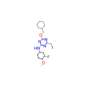 COc1ccc(Nc2nc(CI)nc(OCC3CCCCC3)n2)cc1F